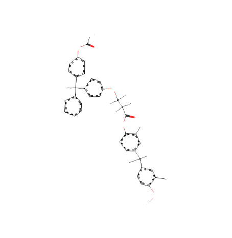 CCC(C)(Oc1ccc(C(C)(c2ccccc2)c2ccc(OC(=O)C(C)(C)C)cc2)cc1)C(C)(C)C(=O)Oc1ccc(C(C)(C)c2ccc(OC(C)(C)C)c(C)c2)cc1C